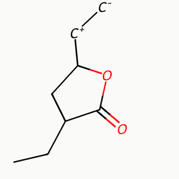 [CH2-][CH+]C1CC(CC)C(=O)O1